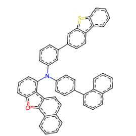 c1cc(-c2ccc3c(c2)sc2ccccc23)cc(N(c2ccc(-c3cccc4ccccc34)cc2)c2cccc3oc4c5ccccc5ccc4c23)c1